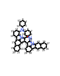 c1ccc(N(c2ccccc2)c2cccc3c4cc5ccccc5c5c6c7c8cccc9c%10cc%11ccccc%11cc%10n(c7ncc6n(c23)c45)c98)cc1